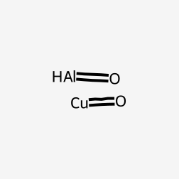 [O]=[AlH].[O]=[Cu]